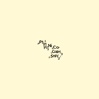 [Co].[GaH3].[InH3].[Ni].[Pt].[SnH2]